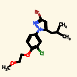 COCCOc1ccc(-n2nc(Br)cc2CC(C)C)cc1Cl